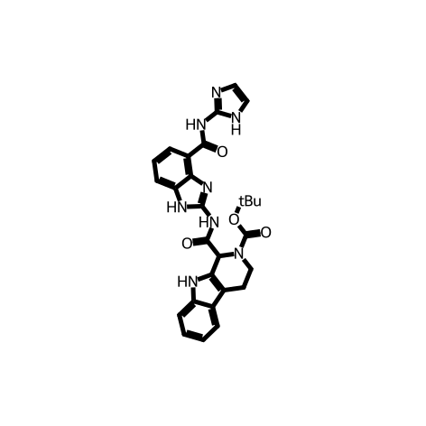 CC(C)(C)OC(=O)N1CCc2c([nH]c3ccccc23)C1C(=O)Nc1nc2c(C(=O)Nc3ncc[nH]3)cccc2[nH]1